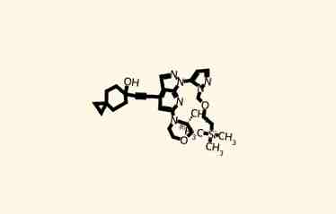 C[C@@H]1COCCN1c1cc(C#CC2(O)CCC3(CC2)CC3)c2cnn(-c3ccnn3COCC[Si](C)(C)C)c2n1